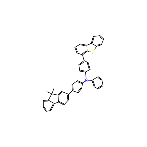 CC1(C)c2ccccc2-c2ccc(-c3ccc(N(c4ccccc4)c4ccc(-c5cccc6c5sc5ccccc56)cc4)cc3)cc21